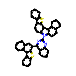 c1ccc2c(c1)cc(-c1nc(-n3c4ccc5ccccc5c4c4c5sc6ccccc6c5ccc43)nc3ccccc13)c1sc3ccccc3c12